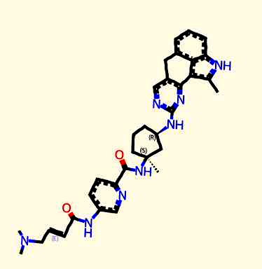 Cc1[nH]c2cccc3c2c1-c1nc(N[C@@H]2CCC[C@](C)(NC(=O)c4ccc(NC(=O)/C=C/CN(C)C)cn4)C2)ncc1C3